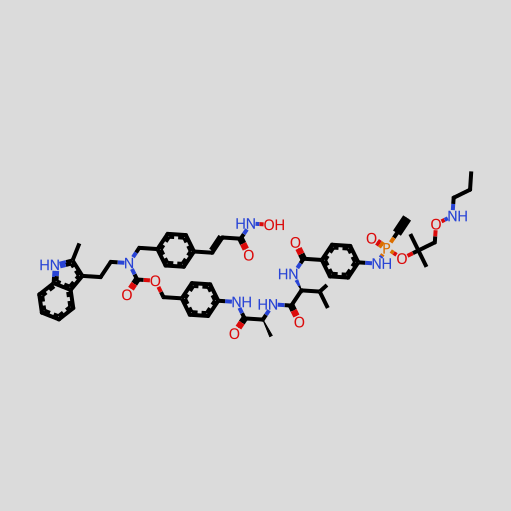 C#CP(=O)(Nc1ccc(C(=O)N[C@H](C(=O)N[C@@H](C)C(=O)Nc2ccc(COC(=O)N(CCc3c(C)[nH]c4ccccc34)Cc3ccc(/C=C/C(=O)NO)cc3)cc2)C(C)C)cc1)OC(C)(C)CONCCC